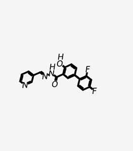 O=C(NN=Cc1cccnc1)c1cc(-c2ccc(F)cc2F)ccc1O